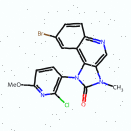 COc1ccc(-n2c(=O)n(C)c3cnc4ccc(Br)cc4c32)c(Cl)n1